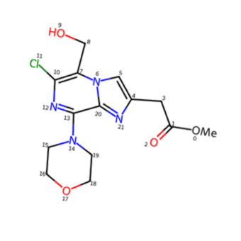 COC(=O)Cc1cn2c(CO)c(Cl)nc(N3CCOCC3)c2n1